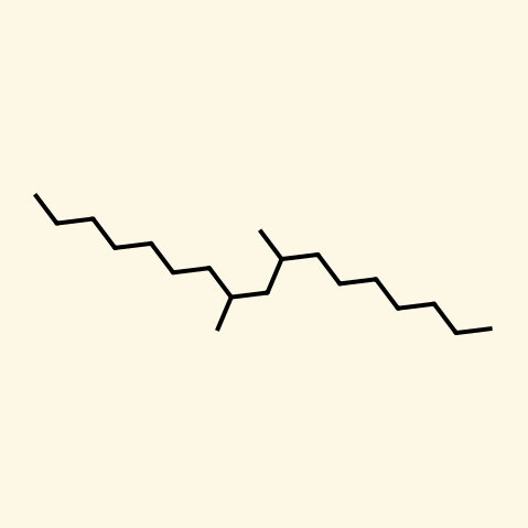 CCCCCCCC(C)CC(C)CCCCCCC